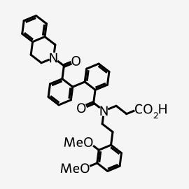 COc1cccc(CCN(CCC(=O)O)C(=O)c2ccccc2-c2ccccc2C(=O)N2CCc3ccccc3C2)c1OC